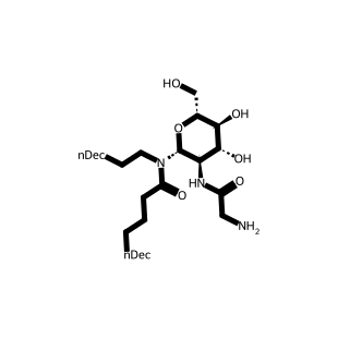 CCCCCCCCCCCCCC(=O)N(CCCCCCCCCCCC)[C@@H]1O[C@H](CO)[C@@H](O)[C@H](O)[C@H]1NC(=O)CN